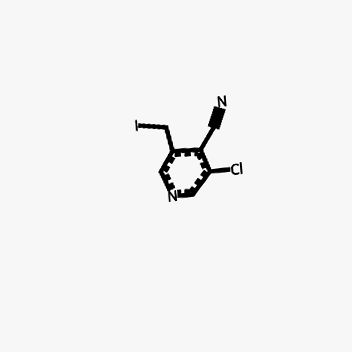 N#Cc1c(Cl)cncc1CI